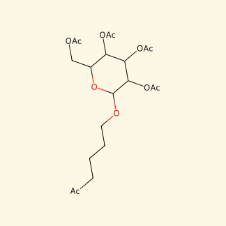 CC(=O)CCCCOC1OC(COC(C)=O)C(OC(C)=O)C(OC(C)=O)C1OC(C)=O